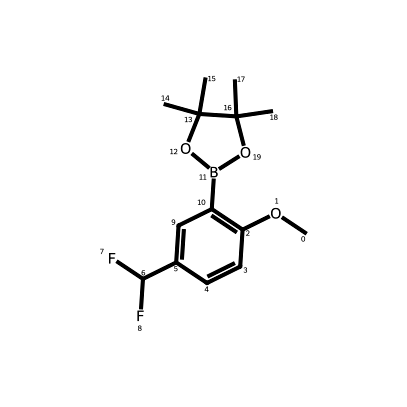 COc1ccc(C(F)F)cc1B1OC(C)(C)C(C)(C)O1